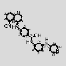 N#Cc1cccc2nccc(Nc3ccc(C(O)Nc4cccc(Nc5ccncc5)c4)cc3)c12